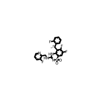 C[C@H](c1ccccc1F)c1c(F)c(F)cc2c1NC(NCc1ncccc1F)=NS2(=O)=O